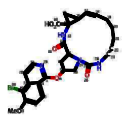 COc1ccc2c(OC3CC4C(=O)NC5(C(=O)O)CC5C=CCCCCCNC(=O)N4C3)nccc2c1Br